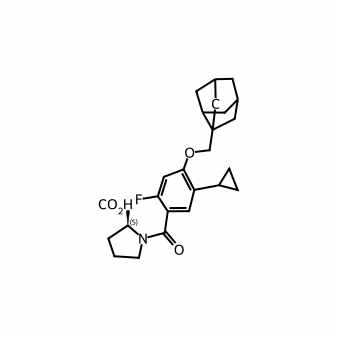 O=C(O)[C@@H]1CCCN1C(=O)c1cc(C2CC2)c(OCC23CC4CC(CC2C4)C3)cc1F